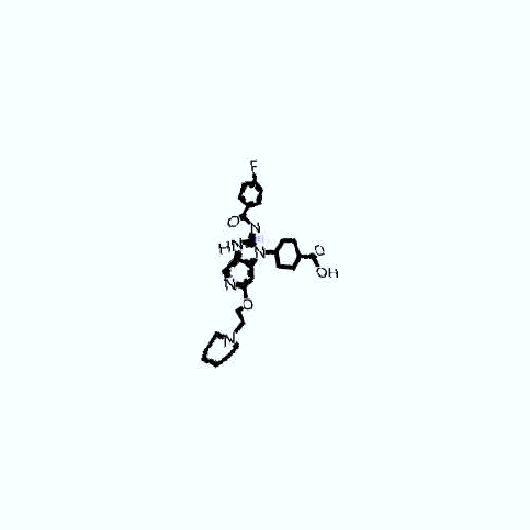 O=C(/N=c1\[nH]c2cnc(OCCN3CCCCC3)cc2n1C1CCC(C(=O)O)CC1)c1ccc(F)cc1